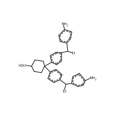 CCCCCCCCC1CCC(c2ccc(C(CC)c3ccc(N)cc3)cc2)(c2ccc(C(CC)c3ccc(N)cc3)cc2)CC1